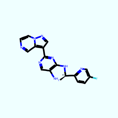 C[C@@H](Nc1nc(-c2cnn3ccncc23)ncc1N)c1ccc(F)cn1